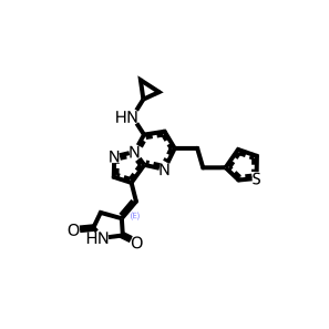 O=C1C/C(=C\c2cnn3c(NC4CC4)cc(CCc4ccsc4)nc23)C(=O)N1